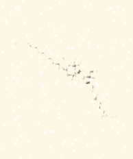 CCCCCCCCCCCCCCCCCC(=O)OC1CC(C)(C)N(OCC(C)(CO)C(=O)CCCCCCCCCCCCCCCCC)C(C)(C)C1